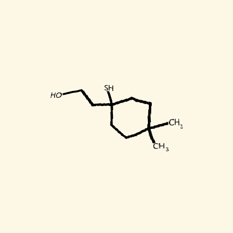 CC1(C)CCC(S)(CCO)CC1